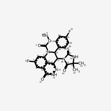 CC(C)(C)OC(=O)N1c2cc(F)cc3c(=O)[nH]nc(c23)C(N2C(=O)C(C)(C)NC2=S)C1c1ccc(F)cc1